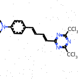 CN(C)c1ccc(/C=C/C=C/c2nc(C(Cl)(Cl)Cl)nc(C(Cl)(Cl)Cl)n2)cc1